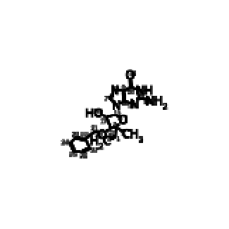 C=C[C@@]1(C)O[C@@H](n2cnc3c(=O)[nH]c(N)nc32)[C@H](O)[C@@H]1OCc1ccccc1